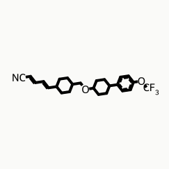 N#CC=CC=CC1CCC(COC2CCC(c3ccc(OC(F)(F)F)cc3)CC2)CC1